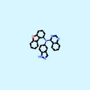 c1ccc2c(N(c3ccc4[nH]ncc4c3)c3cccc4oc5ccccc5c34)ncnc2c1